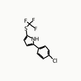 FC(F)(F)Sc1ccc(-c2ccc(Cl)cc2)[nH]1